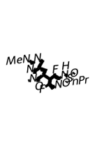 CCCS(=O)(=O)Nc1ncc(F)c(-c2cc3cnc(NC)nc3n(C)c2=O)c1F